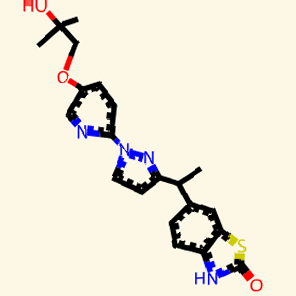 CC(c1ccc2[nH]c(=O)sc2c1)c1ccn(-c2ccc(OCC(C)(C)O)cn2)n1